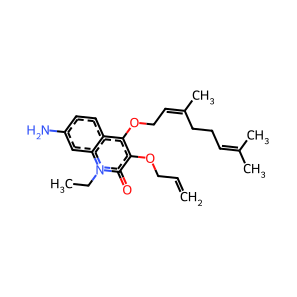 C=CCOc1c(OCC=C(C)CCC=C(C)C)c2ccc(N)cc2n(CC)c1=O